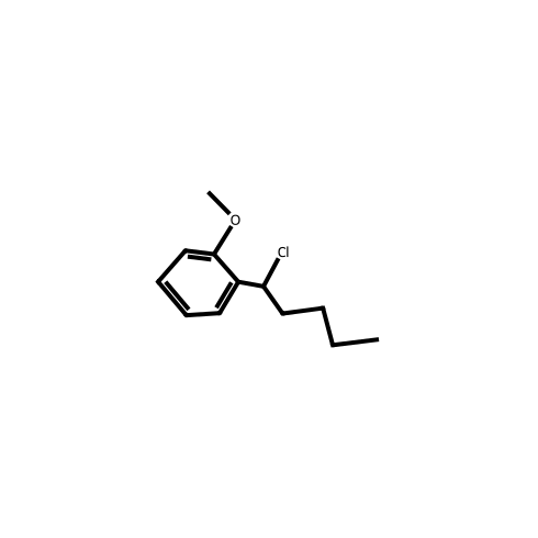 CCCCC(Cl)c1ccccc1OC